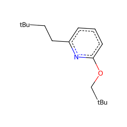 CC(C)(C)CCc1cccc(OCC(C)(C)C)n1